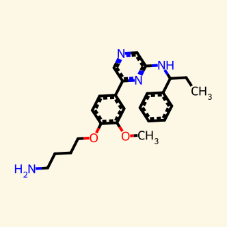 CCC(Nc1cncc(-c2ccc(OCCCCN)c(OC)c2)n1)c1ccccc1